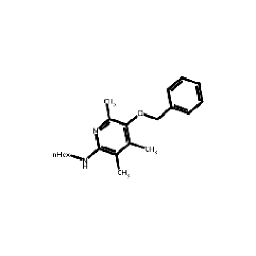 CCCCCCNc1nc(C)c(OCc2ccccc2)c(C)c1C